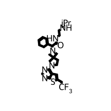 CC(C)NCCNC(=O)C(C1=CC=CCC1)N1CC2(CCN(c3ncnc4sc(CC(F)(F)F)cc34)C2)C1